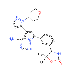 CC1(C)OC(=O)NC1c1cccc(-c2cc(-c3ccnn3C3CCOCC3)c3c(N)ncnn23)c1